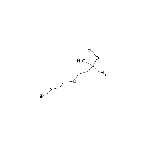 CCOC(C)(C)CCOCCSC(C)C